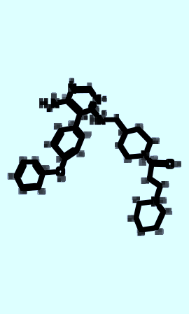 Nc1ncnc(NCC2CCN(C(=O)CCN3CCCCC3)CC2)c1-c1ccc(Oc2ccccc2)cc1